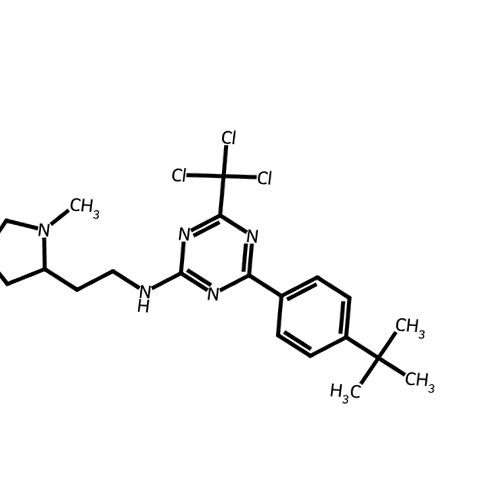 CN1CCCC1CCNc1nc(-c2ccc(C(C)(C)C)cc2)nc(C(Cl)(Cl)Cl)n1